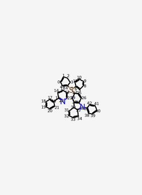 C1=CCCC(S(c2ccccc2)(c2ccc(-c3ccccc3)nc2)C2C=CC3=C(C2)C2C=CC=CC2N3c2ccccc2)=C1